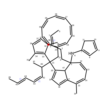 C/C=C\CCC1(NC2=CC=CC2)C=CC=C(C)C2=CC=C(C(Cc3ccccccccc3)(C3=C(C)C=CC3C)C(C)/C=C\C=C\C)C21